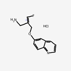 Cl.NC/C(=C/F)COc1ccc2ncccc2c1